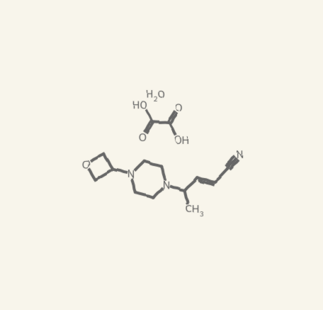 CC(C=CC#N)N1CCN(C2COC2)CC1.O.O=C(O)C(=O)O